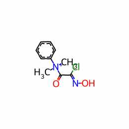 C[N+](C)(C(=O)C(Cl)=NO)c1ccccc1